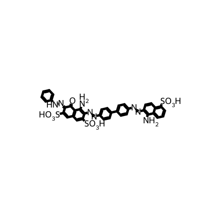 Nc1c(N=Nc2ccc(-c3ccc(N=Nc4ccc5c(S(=O)(=O)O)cccc5c4N)cc3)cc2)c(S(=O)(=O)O)cc2c1C(=O)C(=NNc1ccccc1)C(S(=O)(=O)O)=C2